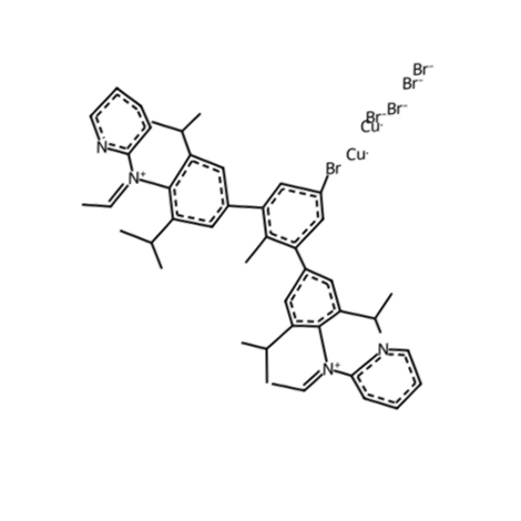 CC=[N+](c1ccccn1)c1c(C(C)C)cc(-c2cc(Br)cc(-c3cc(C(C)C)c([N+](=CC)c4ccccn4)c(C(C)C)c3)c2C)cc1C(C)C.[Br-].[Br-].[Br-].[Br-].[Cu].[Cu]